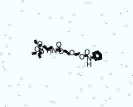 CCO[Si](CCCNC(=O)OCCOCCOC(=O)Nc1ccccc1)(OCC)OCC